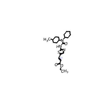 CCOC(=O)/C=C/c1cnc(NC(=O)N(C2CCCCC2)C2CCC(C)CC2)s1